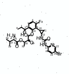 CCC(=O)c1ccc(F)c(C2CC2NC(=O)Nc2ccc(Br)cn2)c1OC(O)C(=O)C(C)OC(=O)[C@@H](N)C(C)C